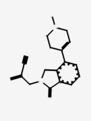 C=C(C#N)CN1Cc2c(cccc2C2=CCN(C)CC2)C1=O